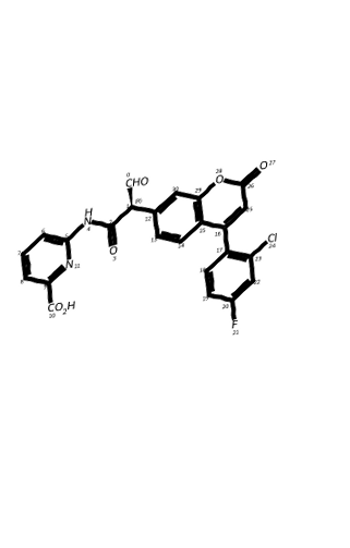 O=C[C@H](C(=O)Nc1cccc(C(=O)O)n1)c1ccc2c(-c3ccc(F)cc3Cl)cc(=O)oc2c1